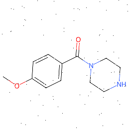 COc1ccc(C(=O)N2CCNCC2)cc1